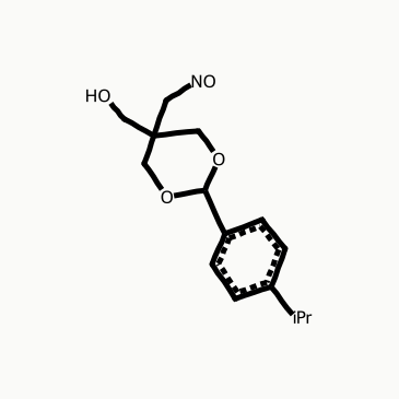 CC(C)c1ccc(C2OCC(CO)(CN=O)CO2)cc1